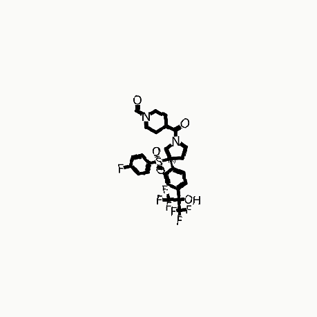 O=CN1CCC(C(=O)N2CC[C@](c3ccc(C(O)(C(F)(F)F)C(F)(F)F)cc3)(S(=O)(=O)c3ccc(F)cc3)C2)CC1